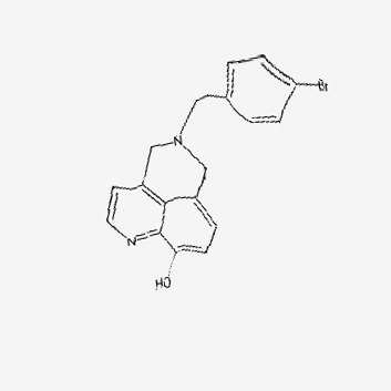 Oc1ccc2c3c(ccnc13)CN(Cc1ccc(Br)cc1)C2